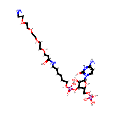 NCCOCCOCCOCCOCCC(=O)NCCCCCCOP(=O)(O)OC1C(COP(=O)(O)O)OC(n2ccc(N)nc2=O)C1O